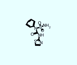 NS(=O)(=O)N(C(=O)Nc1nccs1)c1ccccc1